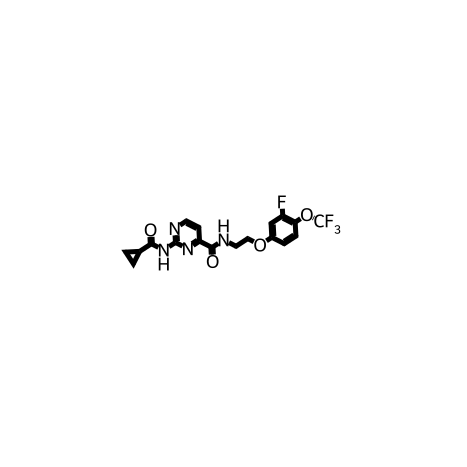 O=C(NCCOc1ccc(OC(F)(F)F)c(F)c1)c1ccnc(NC(=O)C2CC2)n1